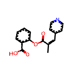 CC(=Cc1ccncc1)C(=O)Oc1ccccc1C(=O)O